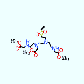 C=CS(=O)(=O)CCN(CCNCC(=O)OC(C)(C)C)CCN(CCNCC(=O)OC(C)(C)C)CC(=O)OC(C)(C)C